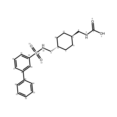 O=C(O)NC[C@H]1CC[C@H](CNS(=O)(=O)c2cccc(-c3ccccc3)c2)CC1